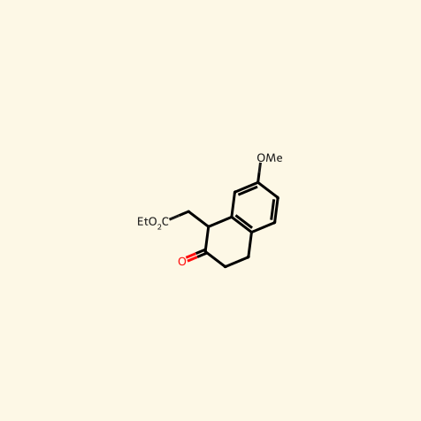 CCOC(=O)CC1C(=O)CCc2ccc(OC)cc21